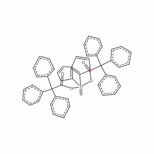 [CH2]=[Ti]([O]C(=O)C(c1ccccc1)(c1ccccc1)c1ccccc1)([O]C(=O)C(c1ccccc1)(c1ccccc1)c1ccccc1)([C]1=CC=CC1)[C]1=CC=CC1